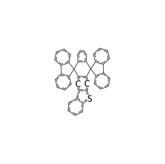 c1ccc2c(c1)-c1ccccc1C21c2ccccc2C2(c3ccccc3-c3ccccc32)c2cc3c(cc21)sc1ccccc13